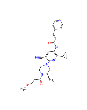 COCCC(=O)N1CCN(c2nc(C3CC3)c(NC(=O)C=Cc3ccncc3)cc2C#N)C[C@H]1C